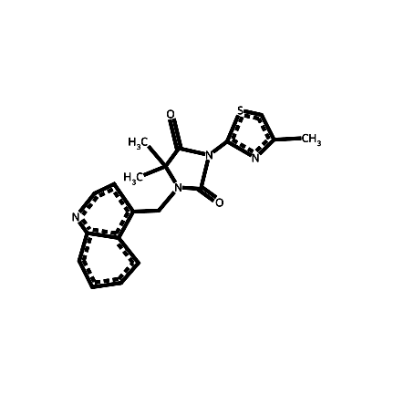 Cc1csc(N2C(=O)N(Cc3ccnc4ccccc34)C(C)(C)C2=O)n1